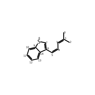 CC(C)=C/C=C\c1csc2ccccc12